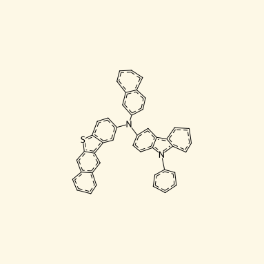 c1ccc(-n2c3ccccc3c3cc(N(c4ccc5ccccc5c4)c4ccc5sc6cc7ccccc7cc6c5c4)ccc32)cc1